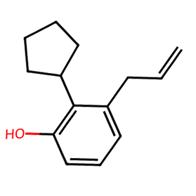 C=CCc1cccc(O)c1C1CCCC1